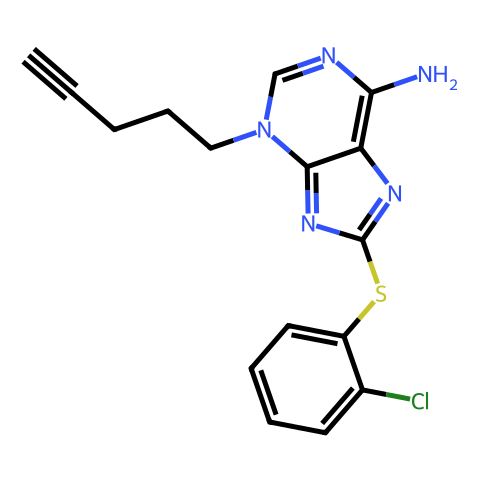 C#CCCCn1cnc(N)c2nc(Sc3ccccc3Cl)nc1-2